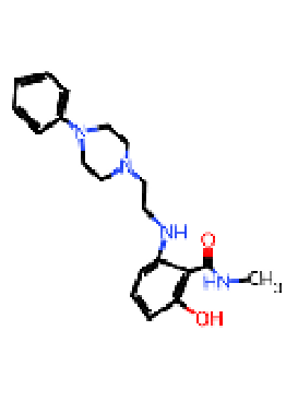 CNC(=O)c1c(O)cccc1NCCN1CCN(c2ccccc2)CC1